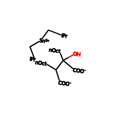 CC(C)[CH2][Sn+2][CH2]C(C)C.CCCCCCCCC(C(=O)[O-])C(O)(CCCCCCCC)C(=O)[O-]